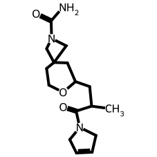 CC(CC1CC2(CCO1)CN(C(N)=O)C2)C(=O)N1CC=CC1